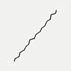 CCCCCCCC[CH]CCCCCCCCCCCCCCCCCCCCCCCCCCC